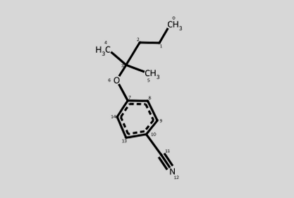 CCCC(C)(C)Oc1ccc(C#N)cc1